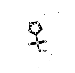 CC(=O)NS(=O)(=O)c1csnn1